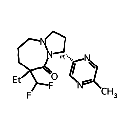 CCC1(C(F)F)CCCN2CC[C@H](c3cnc(C)cn3)N2C1=O